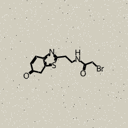 O=C1C=Cc2nc(CCNC(=O)CBr)sc2C1